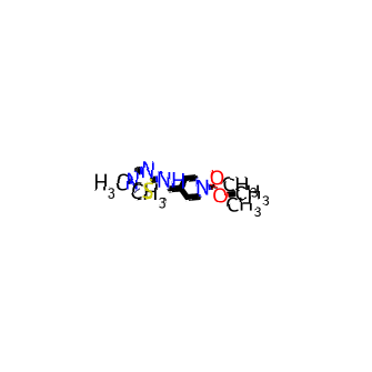 CN(C)/C=N\C(=S)NCC1CCN(C(=O)OC(C)(C)C)CC1